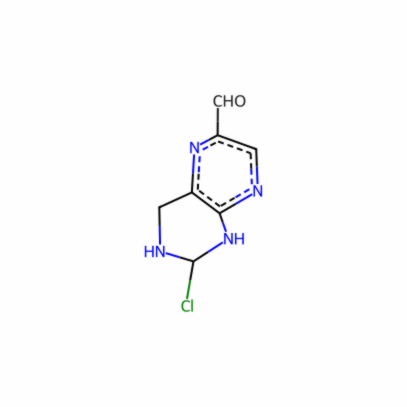 O=Cc1cnc2c(n1)CNC(Cl)N2